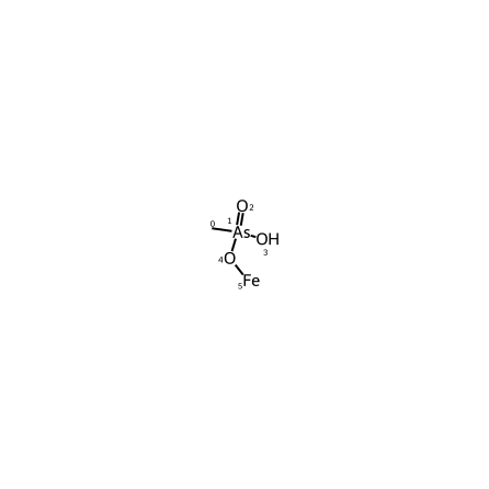 C[As](=O)(O)[O][Fe]